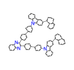 c1ccc2c(-c3ccc4c(c3)c3ccccc3n4-c3ccc(-c4ccc(-c5nc6ccccc6nc5-c5ccc(-c6ccc(-n7c8ccccc8c8cc(-c9cccc%10ccccc9%10)ccc87)cc6)cc5)cc4)cc3)cccc2c1